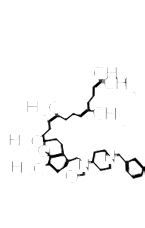 CC(C)=CCCC(C)=CCCC(C)=CCC[C@]1(C)CCc2c3c(cc(C)c2O1)OCN(C1CCN(Cc2ccccc2)CC1)C3